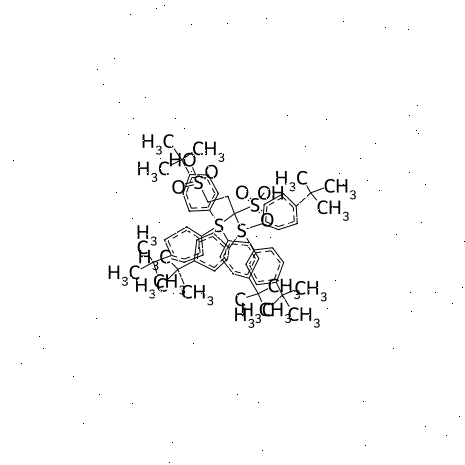 CC(C)(C)c1ccc(S(c2ccc(C(C)(C)C)cc2)(c2ccc(C(C)(C)C)cc2)C(CCS(=O)(=O)O)(S(c2ccc(C(C)(C)C)cc2)(c2ccc(C(C)(C)C)cc2)c2ccc(C(C)(C)C)cc2)S(=O)(=O)O)cc1